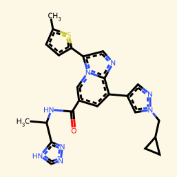 Cc1ccc(-c2cnc3c(-c4cnn(CC5CC5)c4)cc(C(=O)NC(C)c4nnc[nH]4)cn23)s1